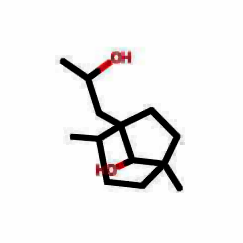 CC(O)CC12CCC(C)(CCC1C)C2O